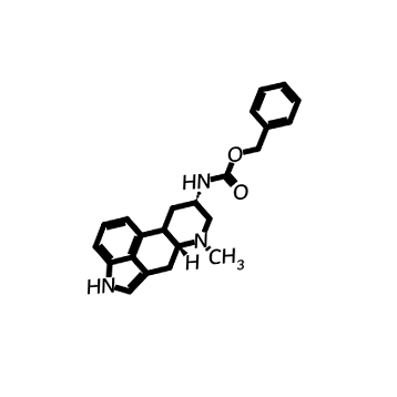 CN1C[C@@H](NC(=O)OCc2ccccc2)CC2c3cccc4[nH]cc(c34)C[C@H]21